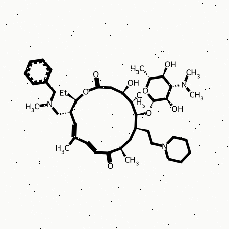 CC[C@H]1OC(=O)C[C@@H](O)[C@H](C)[C@@H](O[C@@H]2O[C@H](C)[C@@H](O)[C@H](N(C)C)[C@H]2O)[C@@H](CCN2CCCCC2)C[C@@H](C)C(=O)/C=C/C(C)=C/[C@@H]1CN(C)Cc1ccccc1